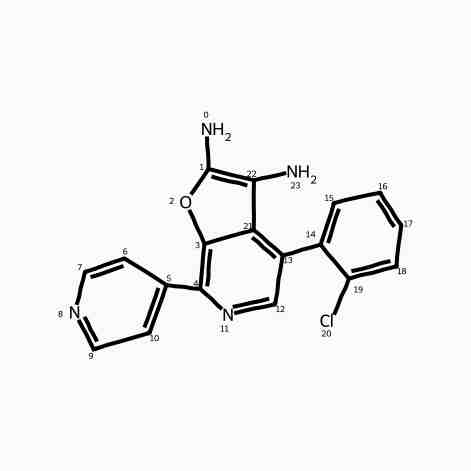 Nc1oc2c(-c3ccncc3)ncc(-c3ccccc3Cl)c2c1N